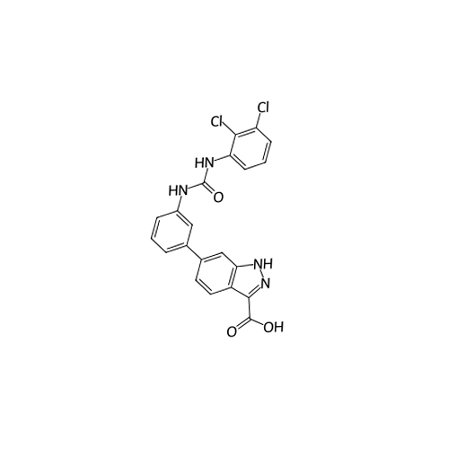 O=C(Nc1cccc(-c2ccc3c(C(=O)O)n[nH]c3c2)c1)Nc1cccc(Cl)c1Cl